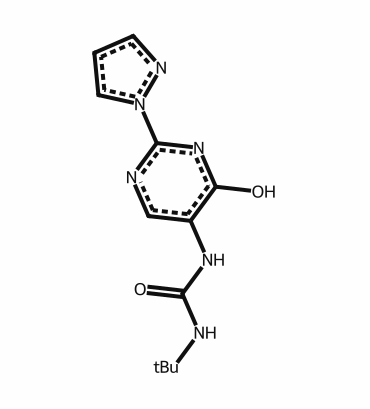 CC(C)(C)NC(=O)Nc1cnc(-n2cccn2)nc1O